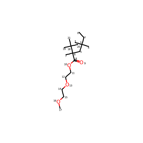 CCC(C)(C)CC(C)(C(=O)OCCOCCOC)C(C)(C)C